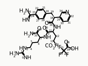 N=C(N)NCCCC(NC(=O)C(CCC(=O)O)NC(=O)[C@@H](Cc1ccc(C(=N)N)cc1)c1cccnc1)C(N)=O.O=C(O)C(F)(F)F